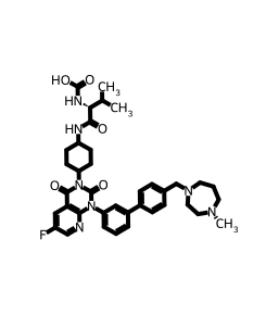 CC(C)[C@@H](NC(=O)O)C(=O)NC1CCC(n2c(=O)c3cc(F)cnc3n(-c3cccc(-c4ccc(CN5CCCN(C)CC5)cc4)c3)c2=O)CC1